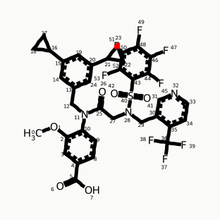 COc1cc(C(=O)O)ccc1N(Cc1cc(C2CC2)cc(C2CC2)c1)C(=O)CN(Cc1cnccc1C(F)(F)F)S(=O)(=O)c1c(F)c(F)c(F)c(F)c1F